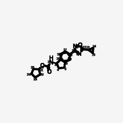 O=C(N[C@@H]1CCc2cc(-c3noc(C4CC4)n3)ccc21)OC1CCCC1